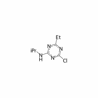 CCc1nc(Cl)nc(NC(C)C)n1